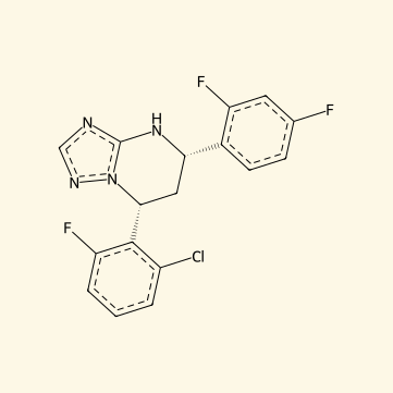 Fc1ccc([C@@H]2C[C@H](c3c(F)cccc3Cl)n3ncnc3N2)c(F)c1